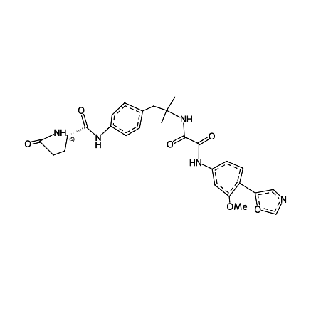 COc1cc(NC(=O)C(=O)NC(C)(C)Cc2ccc(NC(=O)[C@@H]3CCC(=O)N3)cc2)ccc1-c1cnco1